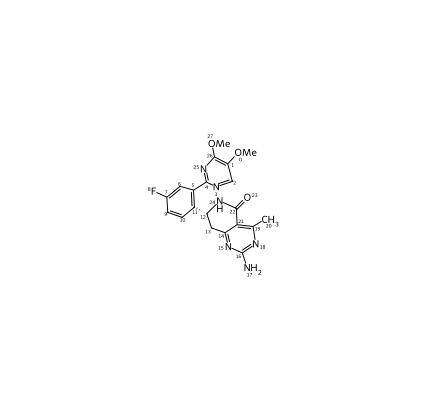 COc1cnc(-c2cc(F)ccc2[C@H]2Cc3nc(N)nc(C)c3C(=O)N2)nc1OC